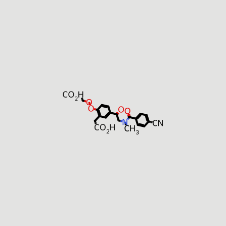 CN(CC(=O)c1ccc(OOCC(=O)O)c(CC(=O)O)c1)C(=O)c1ccc(C#N)cc1